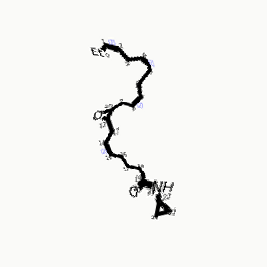 CC/C=C\C/C=C\C/C=C\CC1OC1C/C=C\CCCC(=O)NC1CC1